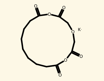 O=C1CCCCCCCC(=O)OC(=O)COCC(=O)O1.[K]